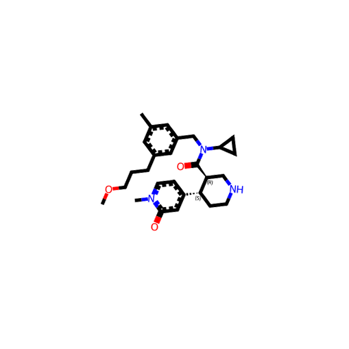 COCCCc1cc(C)cc(CN(C(=O)[C@H]2CNCC[C@@H]2c2ccn(C)c(=O)c2)C2CC2)c1